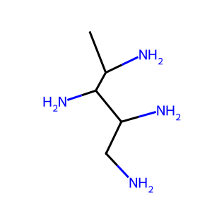 CC(N)C(N)C(N)CN